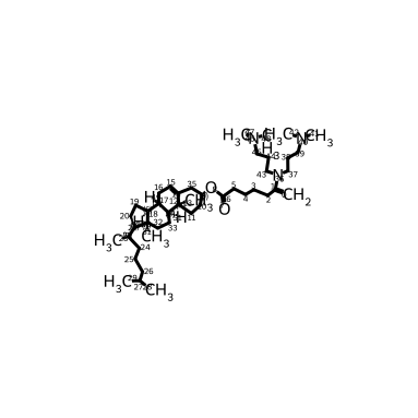 C=C(CCCCC(=O)O[C@H]1CC[C@@]2(C)C(=CC[C@H]3[C@@H]4CC[C@H]([C@H](C)CCCC(C)C)[C@@]4(C)CC[C@@H]32)C1)N(CCCN(C)C)CCCN(C)C